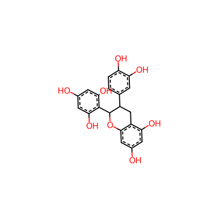 Oc1cc(O)c(C2Oc3cc(O)cc(O)c3CC2c2ccc(O)c(O)c2)c(O)c1